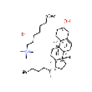 CC(C)CCCC(C)[C@H]1CC[C@H]2[C@@H]3CC=C4C[C@@H](O)CC[C@]4(C)[C@H]3CC[C@]12C.CCCCCCCCCCCCCCCC[N+](C)(C)C.[Br-]